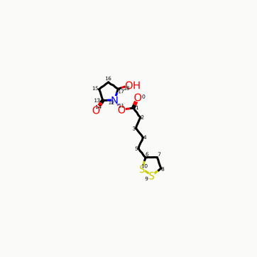 O=C(CCCCC1CCSS1)ON1C(=O)CCC1O